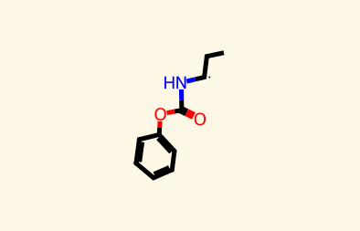 CC[CH]NC(=O)Oc1ccccc1